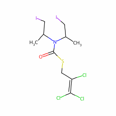 CC(CI)N(C(=O)SCC(Cl)=C(Cl)Cl)C(C)CI